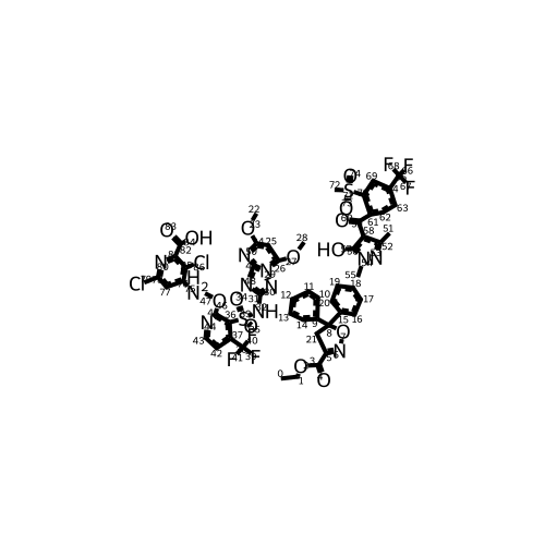 CCOC(=O)C1=NOC(c2ccccc2)(c2ccccc2)C1.COc1cc(OC)n2nc(NS(=O)(=O)c3c(C(F)(F)F)ccnc3OC)nc2n1.Cc1nn(C)c(O)c1C(=O)c1ccc(C(F)(F)F)cc1S(C)(=O)=O.Nc1cc(Cl)nc(C(=O)O)c1Cl